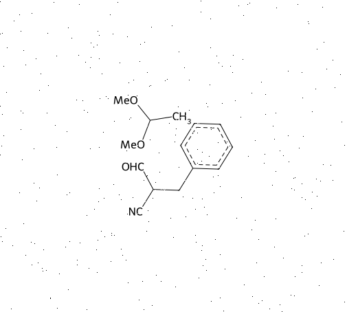 COC(C)OC.N#CC(C=O)Cc1ccccc1